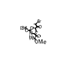 CONC(=O)[C@H](CCC(=O)CBr)NC(=O)OC(C)(C)C